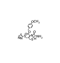 COc1ccc(COC(=O)C2=C(CSc3nncs3)CS[C@@H]3C(N)C(=O)N23)cc1